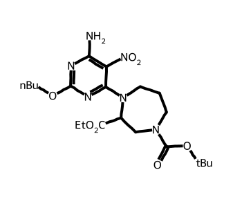 CCCCOc1nc(N)c([N+](=O)[O-])c(N2CCCN(C(=O)OC(C)(C)C)CC2C(=O)OCC)n1